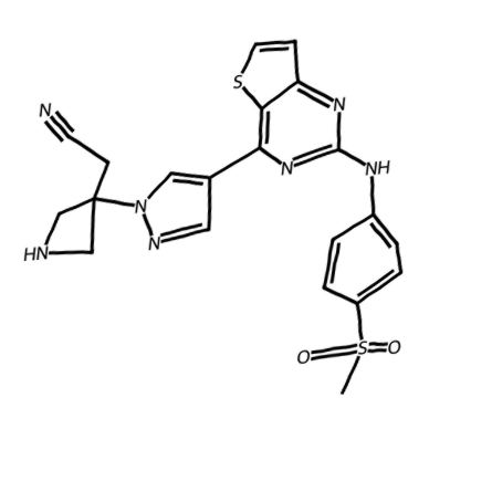 CS(=O)(=O)c1ccc(Nc2nc(-c3cnn(C4(CC#N)CNC4)c3)c3sccc3n2)cc1